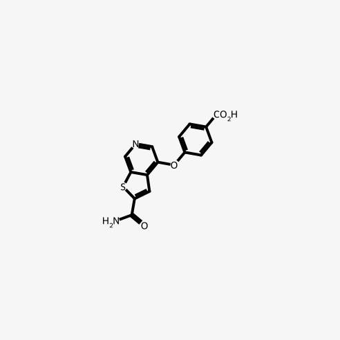 NC(=O)c1cc2c(Oc3ccc(C(=O)O)cc3)cncc2s1